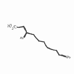 CC(C)CCCCCCC(Br)CC(=O)O